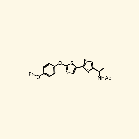 CC(=O)NC(C)c1cnc(-c2cnc(Oc3ccc(OC(C)C)cc3)s2)s1